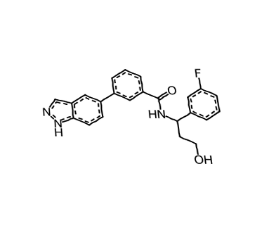 O=C(NC(CCO)c1cccc(F)c1)c1cccc(-c2ccc3[nH]ncc3c2)c1